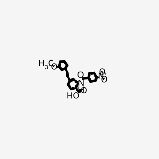 COc1cccc(/C=C/c2ccc(C(=O)O)c(NC(=O)c3ccc([N+](=O)[O-])cc3)c2)c1